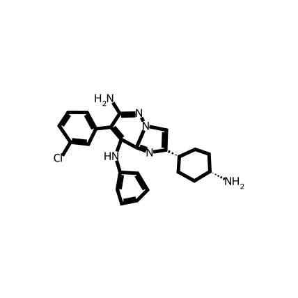 Nc1nn2cc([C@H]3CC[C@@H](N)CC3)nc2c(Nc2ccccc2)c1-c1cccc(Cl)c1